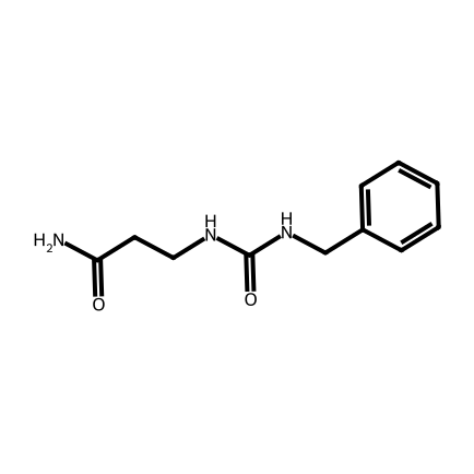 NC(=O)CCNC(=O)NCc1ccccc1